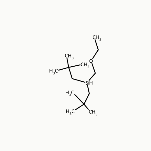 CCOC[SiH](CC(C)(C)C)CC(C)(C)C